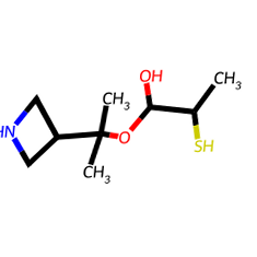 CC(S)C(O)OC(C)(C)C1CNC1